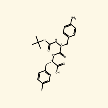 CC(C)(C)OC(=O)N[C@@H](Cc1ccc(N)cc1)C(=O)N[C@@H](Cc1ccc(F)cc1)C(=O)O